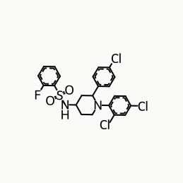 O=S(=O)(NC1CCN(c2ccc(Cl)cc2Cl)C(c2ccc(Cl)cc2)C1)c1ccccc1F